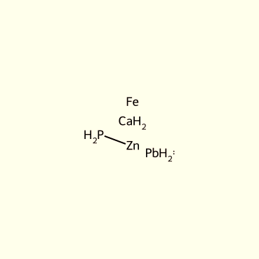 [CaH2].[Fe].[PH2][Zn].[PbH2]